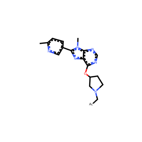 CC(=O)CN1CCC(Oc2ncnc3c2nc(-c2ccc(C)nc2)n3C)C1